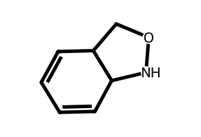 C1=CC2CONC2C=C1